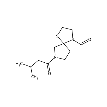 CC(C)CC(=O)N1CCC2(C1)SCCN2C=O